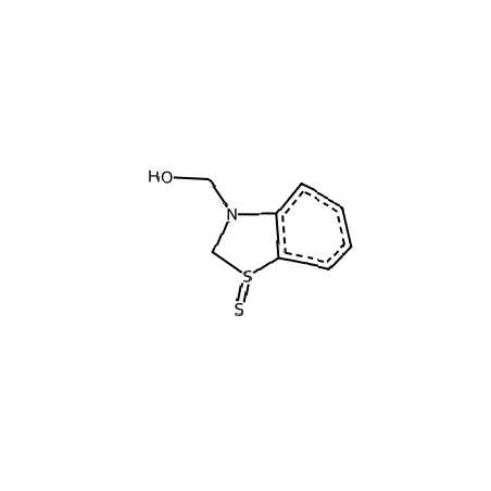 OCN1CS(=S)c2ccccc21